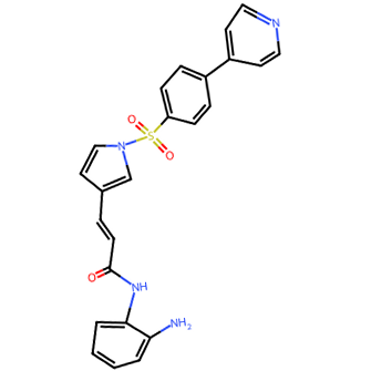 Nc1ccccc1NC(=O)/C=C/c1ccn(S(=O)(=O)c2ccc(-c3ccncc3)cc2)c1